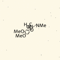 CNCCN(C)S(=O)(=O)c1ccc(OC)c(OC)c1